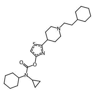 O=C(Oc1csc(C2CCN(CCC3CCCCC3)CC2)n1)N(C1CCCCC1)C1CC1